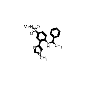 CNS(=O)(=O)c1ccc(NC(C)c2ccccc2)c(-c2cn(C)cn2)c1